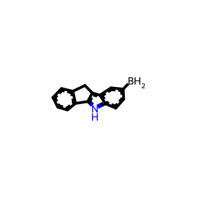 Bc1ccc2[nH]c3c(c2c1)Cc1ccccc1-3